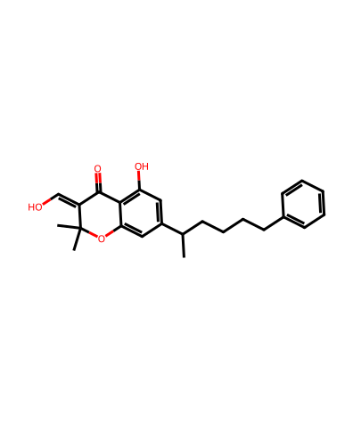 CC(CCCCc1ccccc1)c1cc(O)c2c(c1)OC(C)(C)/C(=C\O)C2=O